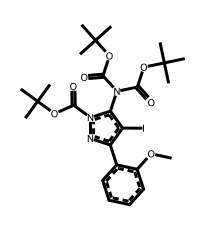 COc1ccccc1-c1nn(C(=O)OC(C)(C)C)c(N(C(=O)OC(C)(C)C)C(=O)OC(C)(C)C)c1I